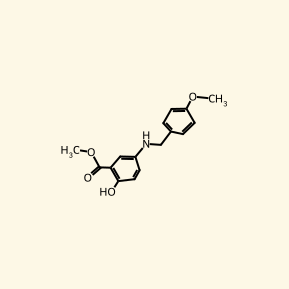 COC(=O)c1cc(NCc2ccc(OC)cc2)ccc1O